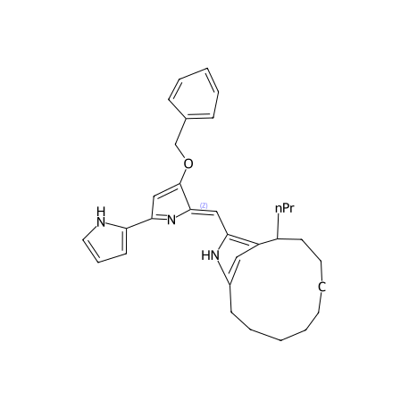 CCCC1CCCCCCCCc2cc1c(/C=C1\N=C(c3ccc[nH]3)C=C1OCc1ccccc1)[nH]2